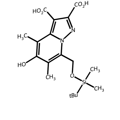 Cc1c(O)c(C)c2c(C(=O)O)c(C(=O)O)nn2c1CO[Si](C)(C)C(C)(C)C